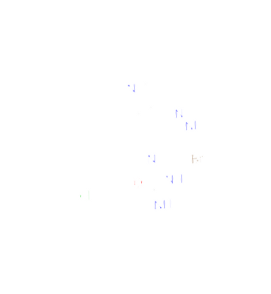 Cc1cc(-c2n[nH]c3c(Br)c(NC(=O)N[C@H](C)c4ccc(Cl)cc4)ncc23)ccn1